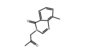 CC(=O)Cn1cnc2c(C)cccc2c1=O